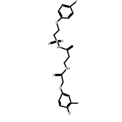 C=C(CCNC(=O)COc1ccc(Cl)c(F)c1)NS(=O)(=O)CCOc1ccc(F)cc1